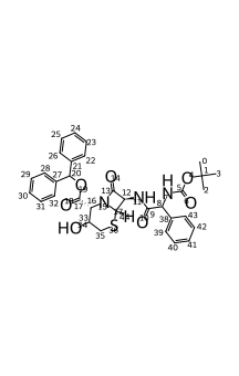 CC(C)(C)OC(=O)NC(C(=O)N[C@@H]1C(=O)N2[C@@H](C(=O)OC(c3ccccc3)c3ccccc3)C(O)CS[C@@H]12)c1ccccc1